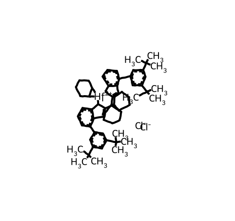 CC(C)(C)c1cc(-c2cccc3c2C=C(C2CCCCC2)[CH]3[Hf+2]2([CH]3C(C4CCCCC4)=Cc4c(-c5cc(C(C)(C)C)cc(C(C)(C)C)c5)cccc43)[CH]3CCCC[CH]32)cc(C(C)(C)C)c1.[Cl-].[Cl-]